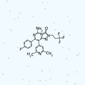 Cc1cc(-c2c(-c3ccc(F)cc3)nc(N)n3c(=O)n(CCC(F)(F)F)nc23)cc(C)n1